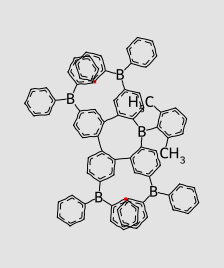 Cc1cccc(C)c1B1c2ccc(B(c3ccccc3)c3ccccc3)cc2-c2cc(B(c3ccccc3)c3ccccc3)ccc2-c2ccc(B(c3ccccc3)c3ccccc3)cc2-c2cc(B(c3ccccc3)c3ccccc3)ccc21